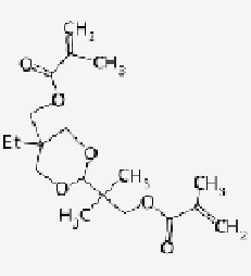 C=C(C)C(=O)OCC1(CC)COC(C(C)(C)COC(=O)C(=C)C)OC1